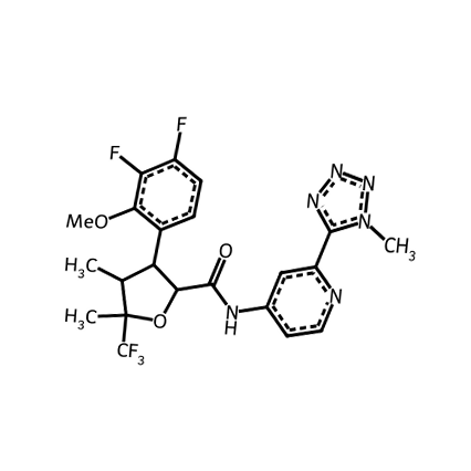 COc1c(C2C(C(=O)Nc3ccnc(-c4nnnn4C)c3)OC(C)(C(F)(F)F)C2C)ccc(F)c1F